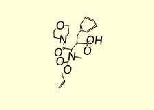 C=CCOC(=O)N(C)C(C(=O)N1CCOCC1)C(Cc1ccccc1)C(=O)O